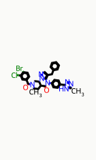 Cc1nnc(-c2ccc(N3C(=O)C4C[C@@H](C)N(C(=O)c5ccc(Br)c(Cl)c5)CC4n4ncc(Cc5ccccc5)c43)cc2)[nH]1